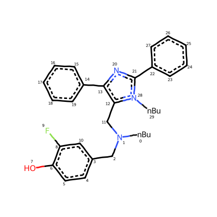 CCCCN(Cc1ccc(O)c(F)c1)Cc1c(-c2ccccc2)nc(-c2ccccc2)n1CCCC